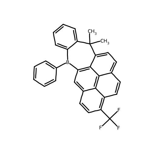 CC1(C)c2ccccc2B(c2ccccc2)c2cc3ccc(C(F)(F)F)c4ccc5ccc1c2c5c34